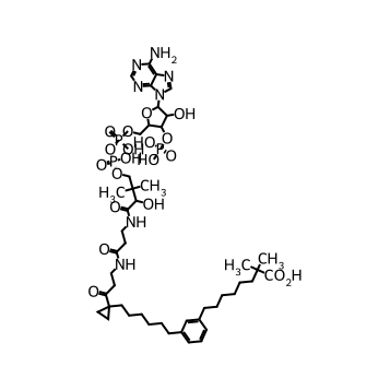 CC(C)(CCCCCCc1cccc(CCCCCCC2(C(=O)CCNC(=O)CCNC(=O)C(O)C(C)(C)COP(=O)(O)OP(=O)(O)OCC3OC(n4cnc5c(N)ncnc54)C(O)C3OP(=O)(O)O)CC2)c1)C(=O)O